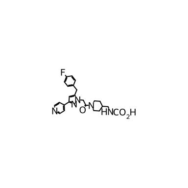 O=C(O)NCC1CCN(C(=O)Cn2nc(-c3ccncc3)cc2Cc2ccc(F)cc2)CC1